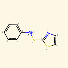 c1ccc(NSc2nccs2)cc1